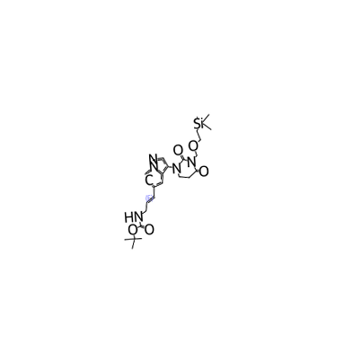 CC(C)(C)OC(=O)NC/C=C/c1ccn2ncc(N3CCC(=O)N(COCC[Si](C)(C)C)C3=O)c2c1